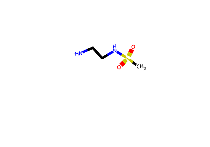 CS(=O)(=O)NCC[NH]